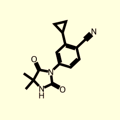 CC1(C)NC(=O)N(c2ccc(C#N)c(C3CC3)c2)C1=O